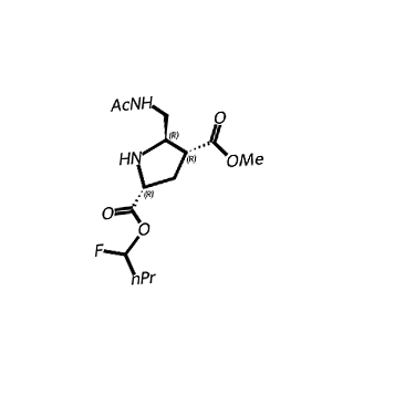 CCCC(F)OC(=O)[C@H]1C[C@@H](C(=O)OC)[C@H](CNC(C)=O)N1